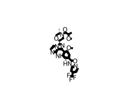 COc1cc(C(=O)Nc2cc(C(F)(F)F)ccn2)ccc1-c1nc([C@H]2CN(C(=O)C(C)OC)[C@@H](C)CO2)n2ccnc(N)c12